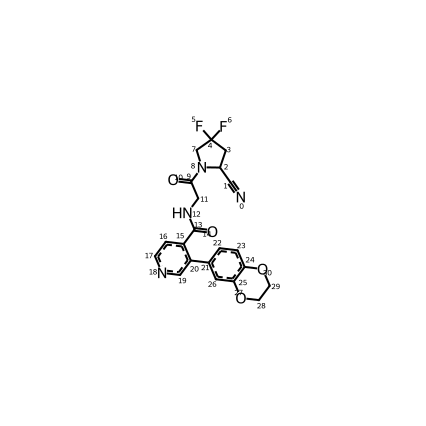 N#CC1CC(F)(F)CN1C(=O)CNC(=O)c1ccncc1-c1ccc2c(c1)OCCO2